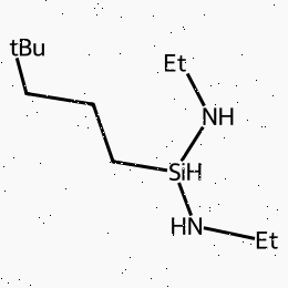 CCN[SiH](CCCC(C)(C)C)NCC